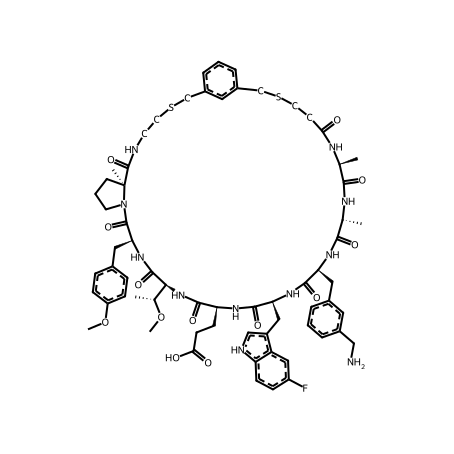 COc1ccc(C[C@@H]2NC(=O)[C@H]([C@@H](C)OC)NC(=O)[C@H](CCC(=O)O)NC(=O)[C@H](Cc3c[nH]c4ccc(F)cc34)NC(=O)[C@H](Cc3cccc(CN)c3)NC(=O)[C@@H](C)NC(=O)[C@H](C)NC(=O)CCSCc3cccc(c3)CSCCNC(=O)[C@]3(C)CCCN3C2=O)cc1